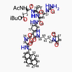 CC(=O)N[C@@H](CCC(=O)OCC(C)C)C(=O)N[C@H](C(=O)N[C@@H](CCCNC(N)=O)C(=O)Nc1ccc(C(OC(=O)N(C)CC(=O)NCc2ccc3ccc4cccc5ccc2c3c45)C(=O)NCCCCCN2C(=O)C=CC2=O)cc1)C(C)C